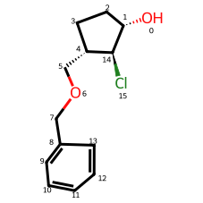 O[C@H]1CC[C@@H](COCc2ccccc2)[C@@H]1Cl